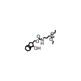 CCO[Si](C)(CCCNC(=O)OCC1CC2C3CCC(C(CO)C3)C2C1)OCC